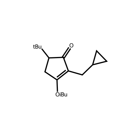 CC(C)COC1=C(CC2CC2)C(=O)C(C(C)(C)C)C1